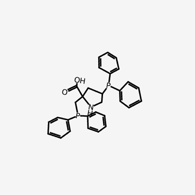 O=C(O)C1(CP(c2ccccc2)c2ccccc2)CC(P(c2ccccc2)c2ccccc2)CN1